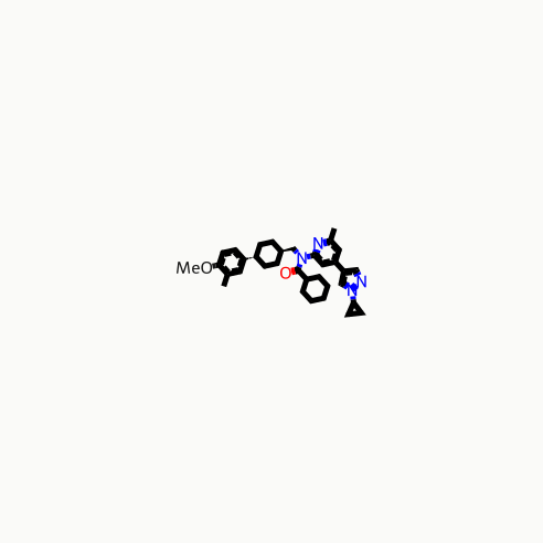 COc1ccc([C@H]2CC[C@H](CN(C(=O)C3CCCCC3)c3cc(-c4cnn(C5CC5)c4)cc(C)n3)CC2)cc1C